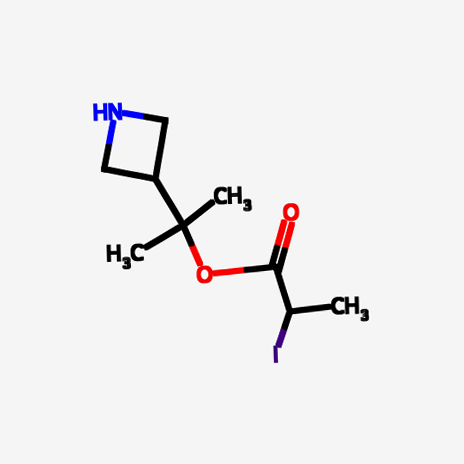 CC(I)C(=O)OC(C)(C)C1CNC1